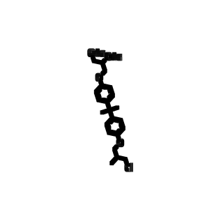 CC(=O)OCC(COc1ccc(C(C)(C)c2ccc(OCC(C)CCl)cc2)cc1)OC(C)=O